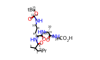 CC(C)CC(C)C(=O)N[C@H](CCCNC(=O)OC(C)(C)C)C(=O)N[C@H](C)C(=O)NCC(=O)O